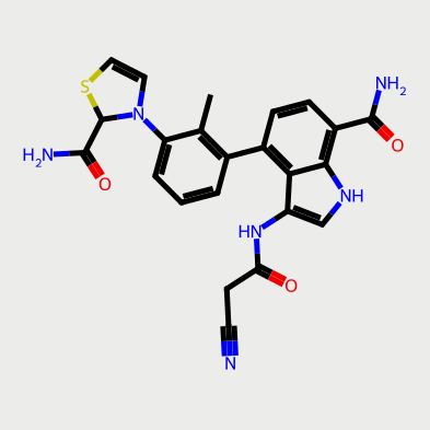 Cc1c(-c2ccc(C(N)=O)c3[nH]cc(NC(=O)CC#N)c23)cccc1N1C=CSC1C(N)=O